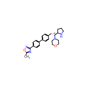 Cc1nc(-c2ccc(-c3ccc(C[C@H](C4CCCN4)N4CCOCC4)cc3)cc2)no1